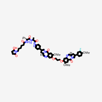 COc1ccc(C2=CN3C(=O)c4cc(OC)c(OCCCOc5cc6c(cc5OC)C(=O)N5C=C(c7ccc(NC(=O)C(C)NC(=O)[C@@H](NC(=O)CCCCCN8C(=O)C=CC8O)C(C)C)cc7)C[C@H]5C=N6)cc4N=C[C@@H]3C2)cc1F